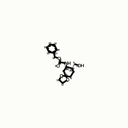 O=C(N[C@@H]1CC2(CC[C@H]1CO)OCCO2)OCc1ccccc1